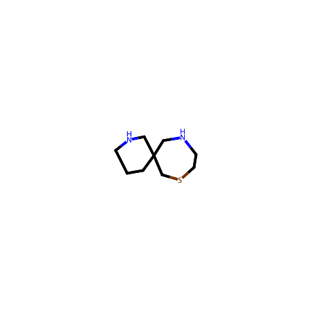 C1CNCC2(C1)CNCCSC2